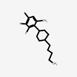 CCCCCC1CCC(c2c(C)cc(I)c(F)c2F)CC1